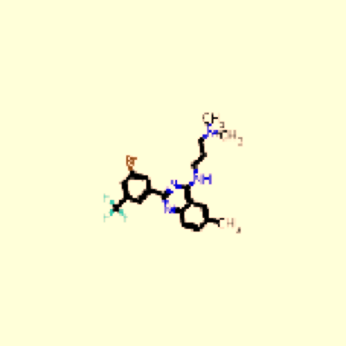 Cc1ccc2nc(-c3cc(Br)cc(C(F)(F)F)c3)nc(NCCCN(C)C)c2c1